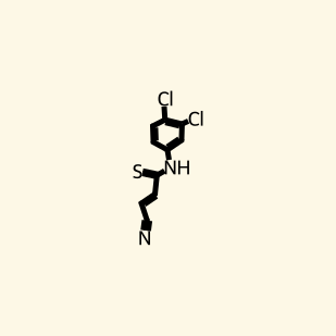 N#CC=CC(=S)Nc1ccc(Cl)c(Cl)c1